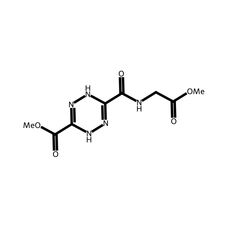 COC(=O)CNC(=O)C1=NNC(C(=O)OC)=NN1